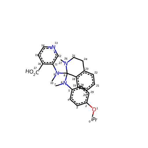 CC(C)Oc1ccc(N(C)C2(N(C)c3cnccc3C(=O)O)c3ccccc3CCN2C)cc1